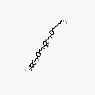 CCCCCCCCC1CCC(C(F)CCOc2ccc(OCCC(F)C3CCC(C(F)CCOc4ccc(OC)c(F)c4F)CC3)c(F)c2F)CC1